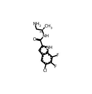 C[C@H](CN)NC(=O)c1cc2cc(Cl)c(F)c(F)c2[nH]1